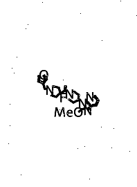 C=C(N1CCC(n2c(OC)nc3cccnc32)CC1)C1(F)CCN(Cc2ccoc2)CC1